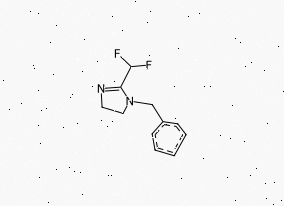 FC(F)C1=NCCN1Cc1ccccc1